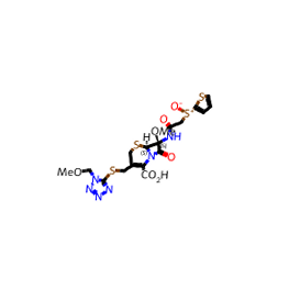 COCn1nnnc1SCC1=C(C(=O)O)N2C(=O)[C@](NC(=O)C[S+]([O-])c3cccs3)(OC)[C@@H]2SC1